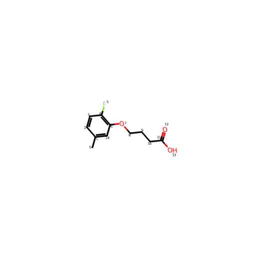 Cc1ccc(F)c(OCCCC(=O)O)c1